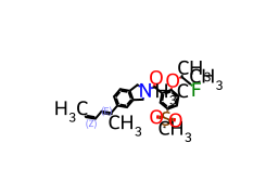 C/C=C\C=C(/C)c1ccc2c(c1)CN(C(=O)c1cc(S(C)(=O)=O)ccc1OC(C)C(C)(C)F)C2